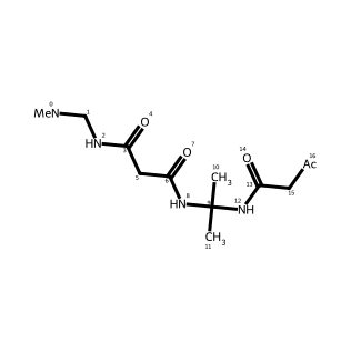 CNCNC(=O)CC(=O)NC(C)(C)NC(=O)CC(C)=O